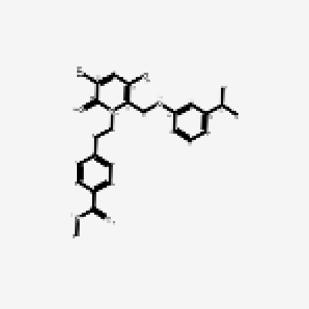 COC(=O)c1ccc(CCn2c(COc3cccc(C(C)C)c3)c(Cl)cc(Cl)c2=O)cc1